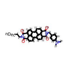 CCCCCCCCCCCCN1C(=O)c2ccc3c4ccc5c6c(ccc(c7ccc(c2c37)C1=O)c64)C(=O)N(Cc1ccc(N(C)C)cc1)C5=O